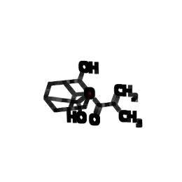 C=C(C)C(=O)OC1C2CC3CC1C(O)C(C2)C3O